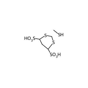 CS.O=S(=O)(O)C1CC(S(=O)(=O)O)SCS1